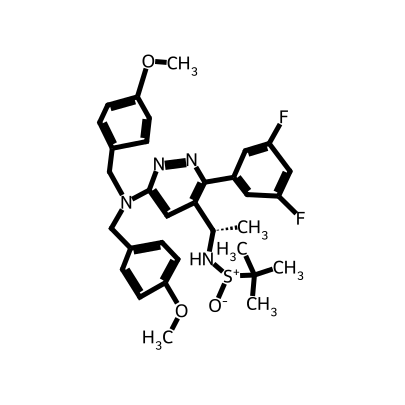 COc1ccc(CN(Cc2ccc(OC)cc2)c2cc([C@H](C)N[S+]([O-])C(C)(C)C)c(-c3cc(F)cc(F)c3)nn2)cc1